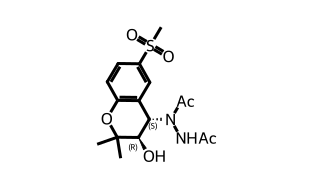 CC(=O)NN(C(C)=O)[C@H]1c2cc(S(C)(=O)=O)ccc2OC(C)(C)[C@@H]1O